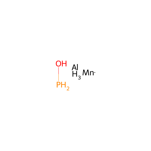 OP.[AlH3].[Mn]